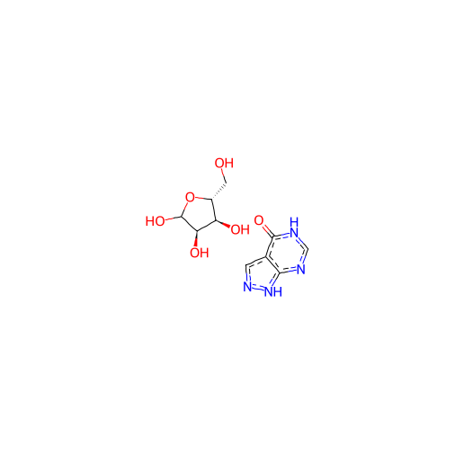 O=c1[nH]cnc2[nH]ncc12.OC[C@H]1OC(O)[C@H](O)[C@@H]1O